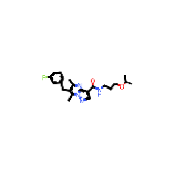 Cc1nc2c(C(=O)NCCCOC(C)C)cnn2c(C)c1Cc1cccc(F)c1